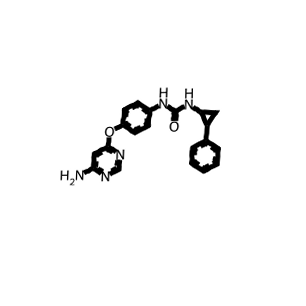 Nc1cc(Oc2ccc(NC(=O)NC3CC3c3ccccc3)cc2)ncn1